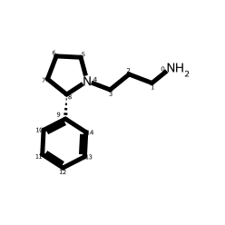 NCCCN1CCC[C@H]1c1ccccc1